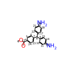 COC(=O)c1ccc(C(c2ccc(N)cc2)c2ccc(N)cc2)cc1